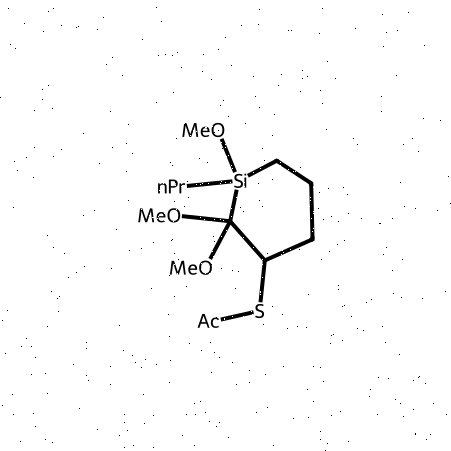 CCC[Si]1(OC)CCCC(SC(C)=O)C1(OC)OC